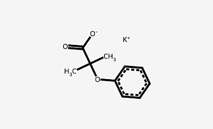 CC(C)(Oc1ccccc1)C(=O)[O-].[K+]